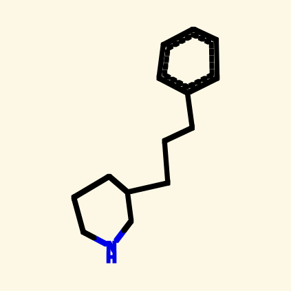 c1ccc(CCCC2CCCNC2)cc1